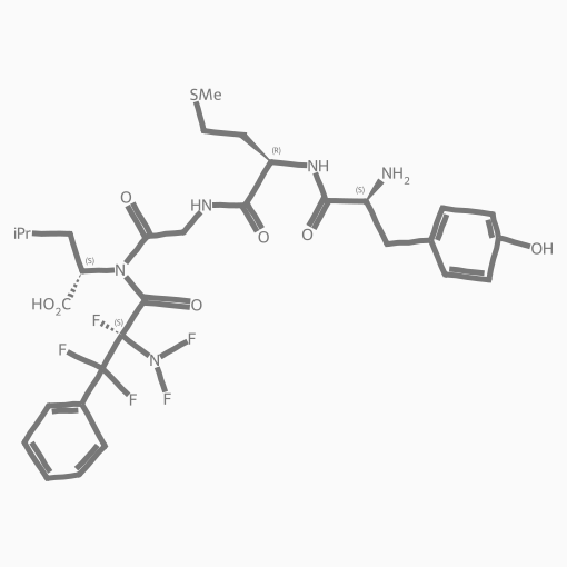 CSCC[C@@H](NC(=O)[C@@H](N)Cc1ccc(O)cc1)C(=O)NCC(=O)N(C(=O)[C@@](F)(N(F)F)C(F)(F)c1ccccc1)[C@@H](CC(C)C)C(=O)O